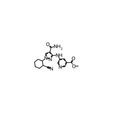 COC(=O)c1cncc(Nc2nn(C3CCCCC3C#N)cc2C(N)=O)c1